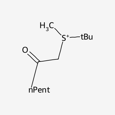 CCCCCC(=O)C[S+](C)C(C)(C)C